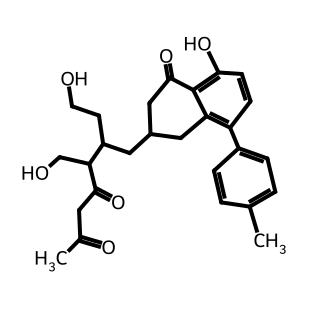 CC(=O)CC(=O)C(CO)C(CCO)CC1CC(=O)c2c(O)ccc(-c3ccc(C)cc3)c2C1